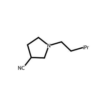 CC(C)CCN1CCC(C#N)C1